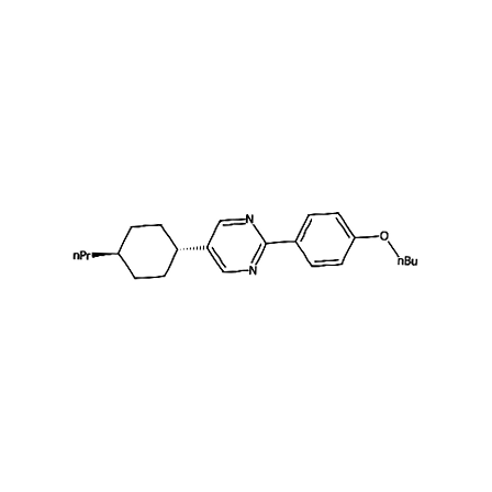 CCCCOc1ccc(-c2ncc([C@H]3CC[C@H](CCC)CC3)cn2)cc1